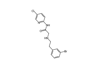 O=C(CNCCc1cccc(Br)c1)Nc1ccc(Cl)cn1